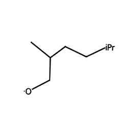 CC(C)CCC(C)C[O]